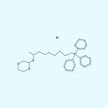 CC(CCCCCCC[P+](c1ccccc1)(c1ccccc1)c1ccccc1)OC1COCCO1.[Br-]